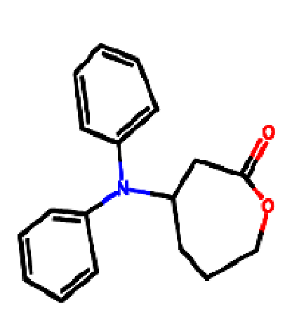 O=C1CC(N(c2ccccc2)c2ccccc2)CCCO1